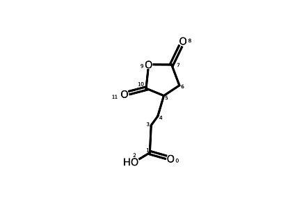 O=C(O)CCC1CC(=O)OC1=O